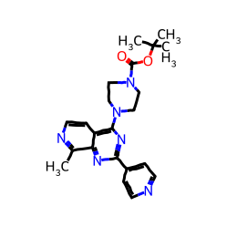 Cc1nccc2c(N3CCN(C(=O)OC(C)(C)C)CC3)nc(-c3ccncc3)nc12